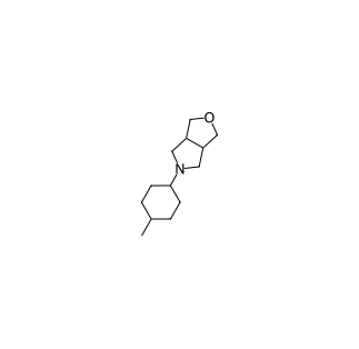 CC1CCC(N2CC3COCC3C2)CC1